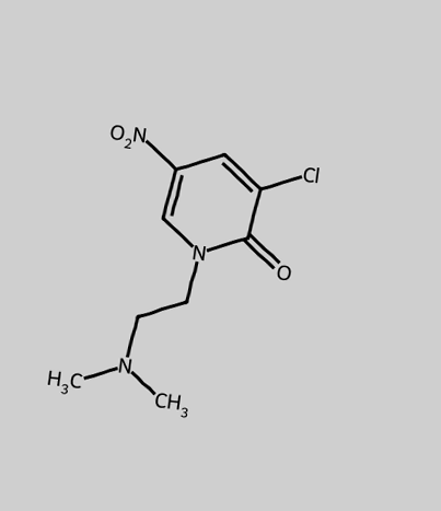 CN(C)CCn1cc([N+](=O)[O-])cc(Cl)c1=O